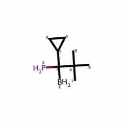 BC(P)(C1CC1)C(C)(C)C